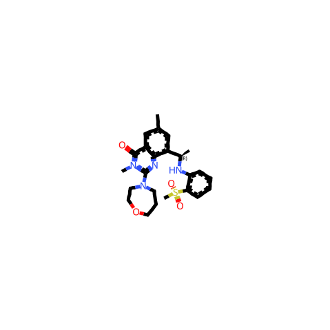 Cc1cc([C@@H](C)Nc2ccccc2S(C)(=O)=O)c2nc(N3CCCOCC3)n(C)c(=O)c2c1